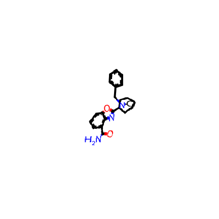 NC(=O)c1cccc2oc(C34CCC(CC3)CN4Cc3ccccc3)nc12